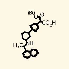 CCC(C)OC(=O)C(C(=O)O)c1ccc(C2CCCC(NC(C)c3cccc4ccccc34)C2)cc1